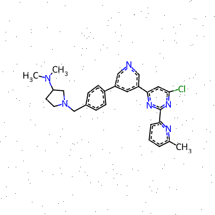 Cc1cccc(-c2nc(Cl)cc(-c3cncc(-c4ccc(CN5CCC(N(C)C)C5)cc4)c3)n2)n1